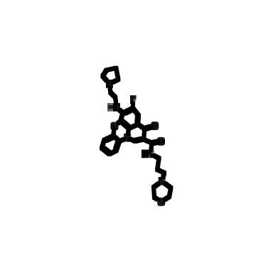 O=C(NCCCN1CCOCC1)c1cn2c3c(c(NCCN4CCCC4)c(F)cc3c1=O)Oc1ccccc1-2